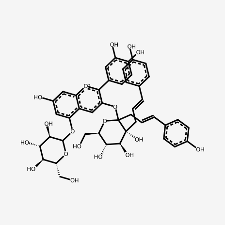 OC[C@H]1OC(CC=Cc2ccc(O)cc2)(Oc2cc3c(OC4O[C@H](CO)[C@@H](O)[C@H](O)[C@H]4O)cc(O)cc3[o+]c2-c2ccc(O)c(O)c2)[C@@](O)(CC=Cc2ccc(O)cc2)[C@@H](O)[C@@H]1O